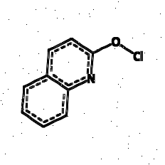 ClOc1ccc2ccccc2n1